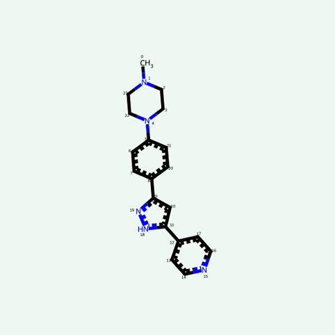 CN1CCN(c2ccc(-c3cc(-c4ccncc4)[nH]n3)cc2)CC1